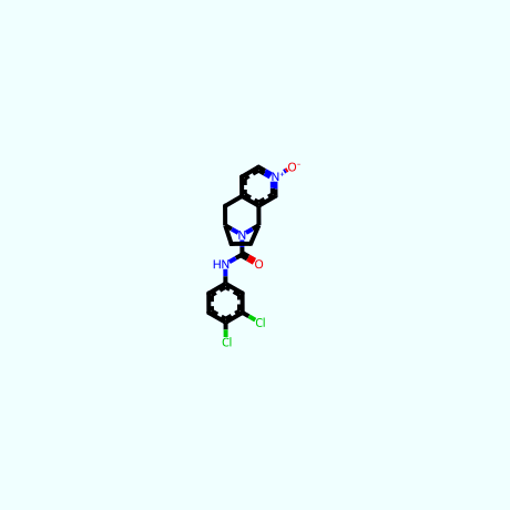 O=C(Nc1ccc(Cl)c(Cl)c1)N1C2CCC1c1c[n+]([O-])ccc1C2